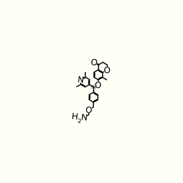 Cc1cc([C@@H](Oc2ccc3c(c2C)OCCC3=O)c2ccc(COCN)cc2)cc(C)n1